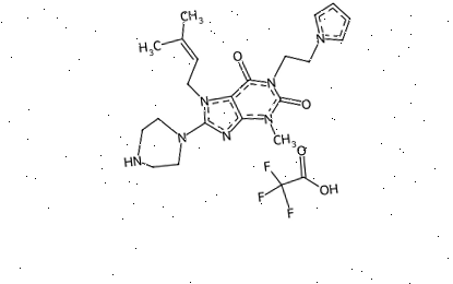 CC(C)=CCn1c(N2CCNCC2)nc2c1c(=O)n(CCn1cccc1)c(=O)n2C.O=C(O)C(F)(F)F